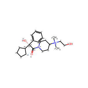 C[N+](C)(CCO)C1CCN(C(=O)[C@](O)(c2ccccc2)C2CCCC2)CC1